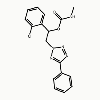 CNC(=O)OC(Cn1nnc(-c2ccccc2)n1)c1ccccc1Cl